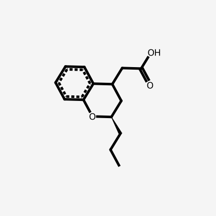 CCC[C@@H]1CC(CC(=O)O)c2ccccc2O1